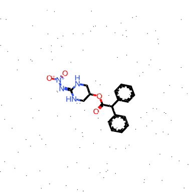 O=C(OC1CNC(=N[N+](=O)[O-])NC1)C(c1ccccc1)c1ccccc1